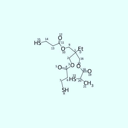 CCC(COC(=O)CCS)(COC(=O)CCS)COC(=O)C(C)S